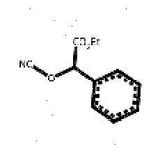 CCOC(=O)C(OC#N)c1ccccc1